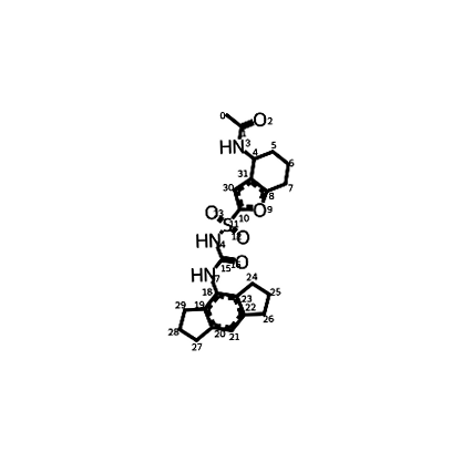 CC(=O)NC1CCCc2oc(S(=O)(=O)NC(=O)Nc3c4c(cc5c3CCC5)CCC4)cc21